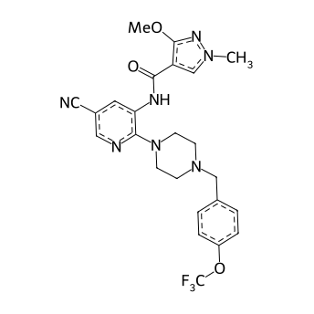 COc1nn(C)cc1C(=O)Nc1cc(C#N)cnc1N1CCN(Cc2ccc(OC(F)(F)F)cc2)CC1